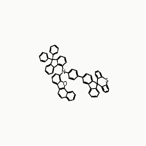 c1ccc(C2(c3ccccc3)c3ccccc3-c3c(N(c4ccc(-c5ccc6c(c5)-c5ccccc5C65c6ccccc6Sc6ccccc65)cc4)c4cccc5c4oc4c6ccccc6ccc54)cccc32)cc1